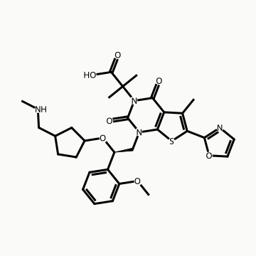 CNCC1CCC(O[C@@H](Cn2c(=O)n(C(C)(C)C(=O)O)c(=O)c3c(C)c(-c4ncco4)sc32)c2ccccc2OC)C1